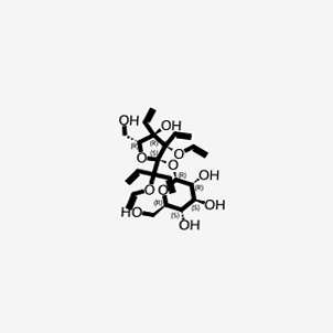 C=COC(C=C)(C=C)[C@@]1(O[C@H]2O[C@H](CO)[C@@H](O)[C@H](O)[C@H]2O)O[C@H](CO)[C@](O)(C=C)[C@]1(C=C)OC=C